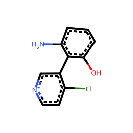 Nc1cccc(O)c1-c1cnccc1Cl